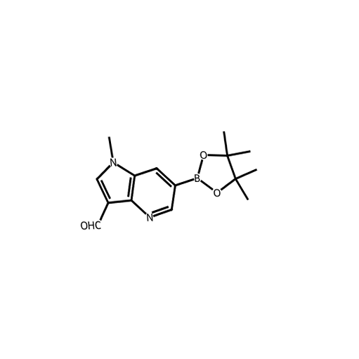 Cn1cc(C=O)c2ncc(B3OC(C)(C)C(C)(C)O3)cc21